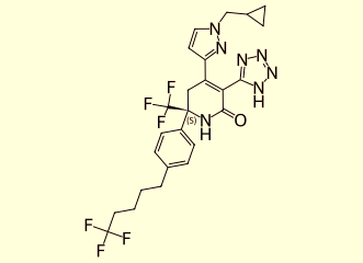 O=C1N[C@@](c2ccc(CCCCC(F)(F)F)cc2)(C(F)(F)F)CC(c2ccn(CC3CC3)n2)=C1c1nnn[nH]1